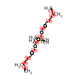 C=CC(=O)OCC(C)OC(=O)CCC(=O)OCCc1ccc(OC(=O)[C@H]2CC[C@H](C(=O)Oc3c(C)c(C)c(OC(=O)[C@H]4CC[C@H](C(=O)Oc5ccc(CCOC(=O)CCC(=O)OC(C)COC(=O)C=C)cc5)CC4)c4c3SC(=C(C#N)C#N)S4)CC2)cc1